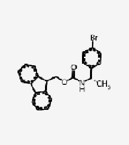 C[C@H](NC(=O)OCC1c2ccccc2-c2ccccc21)c1ccc(Br)cc1